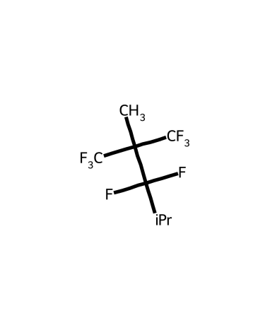 CC(C)C(F)(F)C(C)(C(F)(F)F)C(F)(F)F